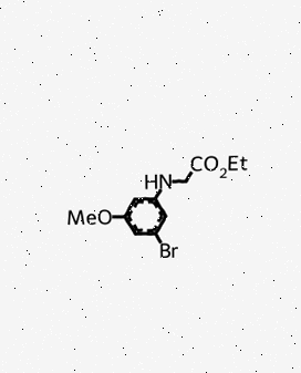 CCOC(=O)CNc1cc(Br)cc(OC)c1